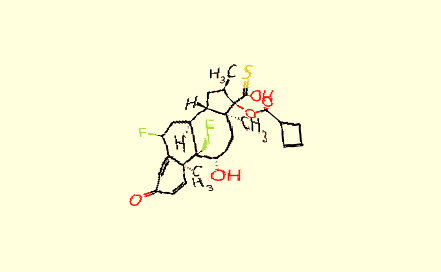 C[C@@H]1C[C@H]2[C@@H]3C[C@H](F)C4=CC(=O)C=C[C@]4(C)[C@@]3(F)[C@@H](O)C[C@]2(C)[C@@]1(OC(=O)C1CCC1)C(O)=S